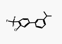 CC(C)c1cccc(-c2ccc(C(F)(F)F)c(Cl)c2)c1